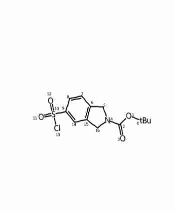 CC(C)(C)OC(=O)N1Cc2ccc(S(=O)(=O)Cl)cc2C1